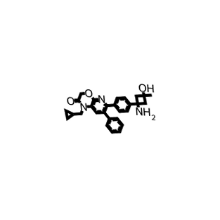 CC1(O)CC(N)(c2ccc(-c3nc4c(cc3-c3ccccc3)N(CC3CC3)C(=O)CO4)cc2)C1